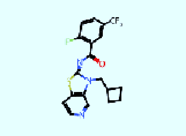 O=C(N=c1sc2ccncc2n1CC1CCC1)c1cc(C(F)(F)F)ccc1F